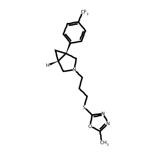 Cc1nnc(SCCCN2C[C@@H]3C[C@]3(c3ccc(C(F)(F)F)cc3)C2)o1